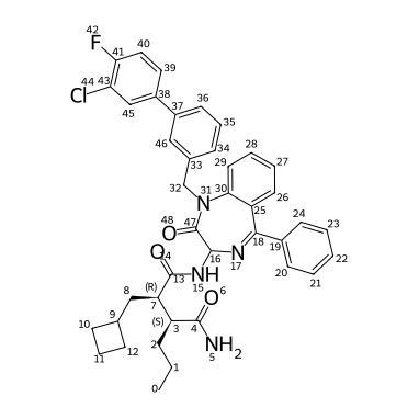 CCC[C@H](C(N)=O)[C@@H](CC1CCC1)C(=O)NC1N=C(c2ccccc2)c2ccccc2N(Cc2cccc(-c3ccc(F)c(Cl)c3)c2)C1=O